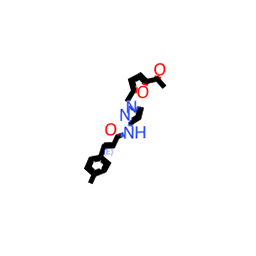 CC(=O)c1ccc(Cn2ccc(NC(=O)/C=C/c3ccc(C)cc3)n2)o1